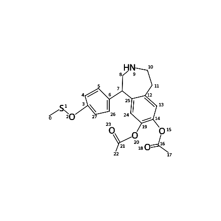 CSOc1ccc(C2CNCCc3cc(OC(C)=O)c(OC(C)=O)cc32)cc1